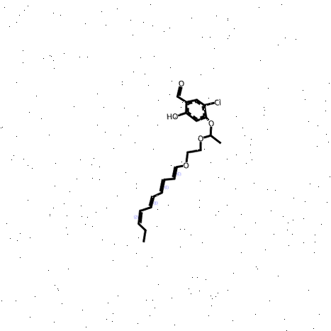 CC\C=C/C=C/C=C/C=C/OCCOC(C)Oc1cc(O)c(C=O)cc1Cl